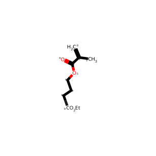 C=C(C)C(=O)OCCCC(=O)OCC